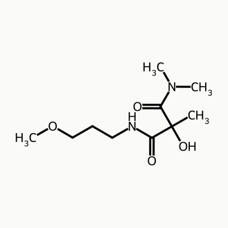 COCCCNC(=O)C(C)(O)C(=O)N(C)C